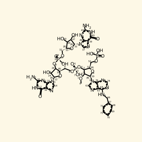 COC1C(OP(=O)(O)OC[C@H]2O[C@@H](n3cnc4c(=O)[nH]c(N)nc43)C(O)C2OP(=O)(O)OC[C@H]2O[C@@H](n3cnc4c(=O)[nH]c(N)nc43)C(O)C2O)[C@@H](COP(=O)(O)O)O[C@H]1n1cnc2c(NCc3ccccc3)ncnc21